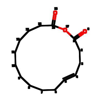 O=C1CC/C=C/CCCCCCCCCC(=O)O1